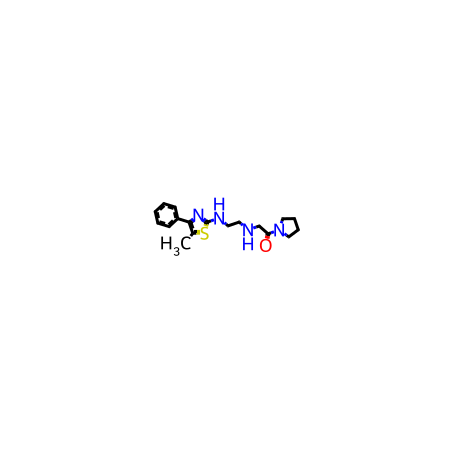 Cc1sc(NCCNCC(=O)N2CCCC2)nc1-c1ccccc1